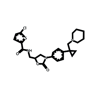 O=C(NCC1CN(c2ccc(C3(CN4CCCCC4)CC3)cc2)C(=O)O1)c1ccc(Cl)s1